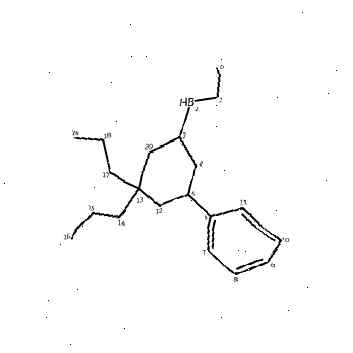 CCBC1CC(c2ccccc2)CC(CCC)(CCC)C1